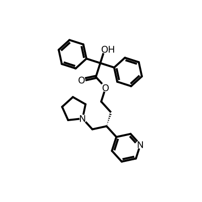 O=C(OCC[C@@H](CN1CCCC1)c1cccnc1)C(O)(c1ccccc1)c1ccccc1